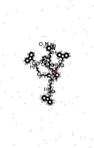 CC[C@@H](CC[C@@](C)(CC[C@H](C)OCCCNC(=O)OCC1c2ccccc2-c2ccccc21)[C@H](C)C[C@H](OCCCNC(=O)OCC1c2ccccc2-c2ccccc21)[C@@]1(C)[C@H](C)CC[C@@H]1[C@H](C)CCCN(CC(=O)ON1C(=O)CCC1=O)C(=O)CCCCCNc1ccc([N+](=O)[O-])c2nonc12)OCCCNC(=O)OCC1c2ccccc2-c2ccccc21